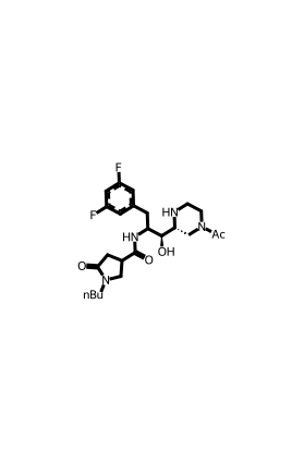 CCCCN1CC(C(=O)NC(Cc2cc(F)cc(F)c2)[C@H](O)[C@H]2CN(C(C)=O)CCN2)CC1=O